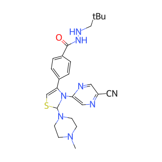 CN1CCN(C2SC=C(c3ccc(C(=O)NNCC(C)(C)C)cc3)N2c2cnc(C#N)cn2)CC1